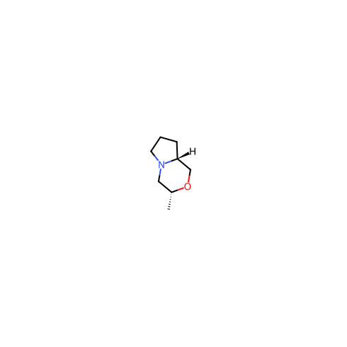 C[C@@H]1CN2CCC[C@@H]2CO1